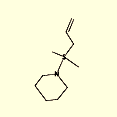 C=CCS(C)(C)N1CCCCC1